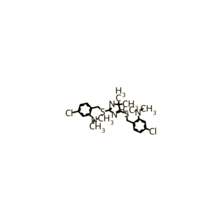 CN(C)c1cc(Cl)ccc1CSC1=NC(C)(C)C(SCc2ccc(Cl)cc2N(C)C)=N1